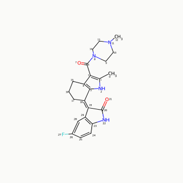 Cc1[nH]c2c(c1C(=O)N1CCN(C)CC1)CCC/C2=C1/C(=O)Nc2ccc(F)cc21